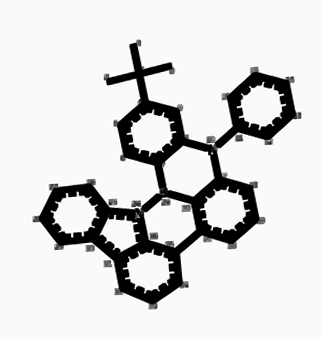 CC(C)(C)c1ccc2c(c1)N(c1ccccc1)c1cccc3c1B2n1c2ccccc2c2cccc-3c21